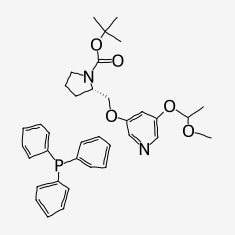 COC(C)Oc1cncc(OC[C@@H]2CCCN2C(=O)OC(C)(C)C)c1.c1ccc(P(c2ccccc2)c2ccccc2)cc1